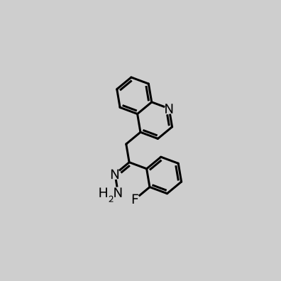 N/N=C(/Cc1ccnc2ccccc12)c1ccccc1F